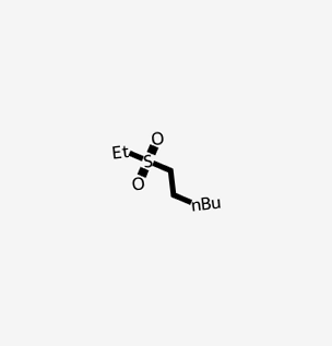 [CH2]CCCCCS(=O)(=O)CC